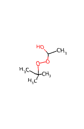 CC(O)OOC(C)(C)C